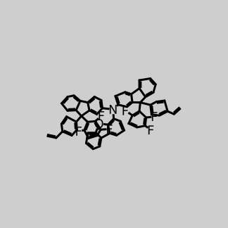 C=Cc1ccc(C2(c3c(F)ccc(F)c3F)c3ccccc3-c3ccc(N(c4ccc5c(c4)C(c4ccc(C=C)cc4)(c4c(F)ccc(F)c4F)c4ccccc4-5)c4cccc5c4oc4ccccc45)cc32)cc1